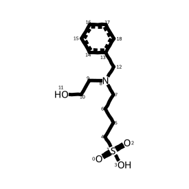 O=S(=O)(O)CCCCN(CCO)Cc1ccccc1